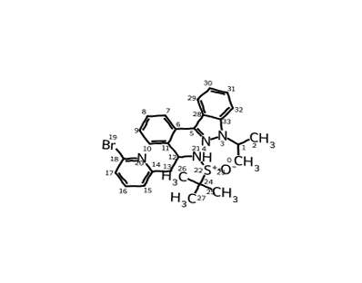 CC(C)n1nc(-c2ccccc2C(Cc2cccc(Br)n2)N[S@@+]([O-])C(C)(C)C)c2ccccc21